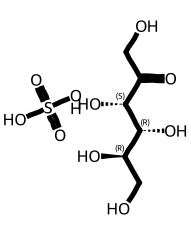 O=C(CO)[C@@H](O)[C@H](O)[C@H](O)CO.O=S(=O)(O)O